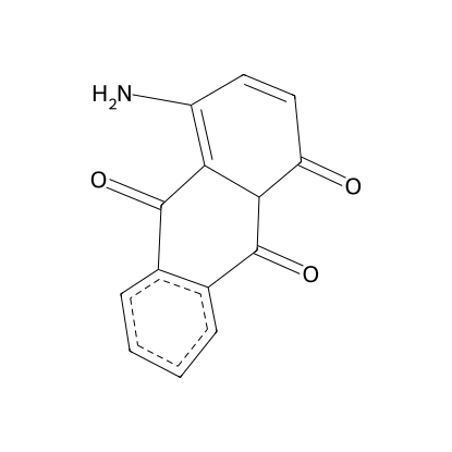 NC1=C2C(=O)c3ccccc3C(=O)C2C(=O)C=C1